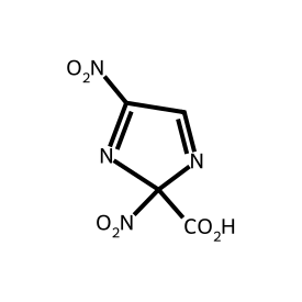 O=C(O)C1([N+](=O)[O-])N=CC([N+](=O)[O-])=N1